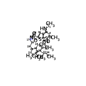 CCN[C@H]1C[C@H](C)S(=O)(=O)c2sc(S(=O)(=O)/N=C\CCC(CC)C(CC)C(CC)C(CC)C(C)CC)cc21